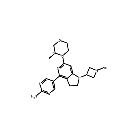 CC(=O)N1CC(N2CCc3c(-c4cnc(N)nc4)nc(N4CCOC[C@@H]4C)nc32)C1